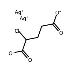 O=C([O-])CCC(Cl)C(=O)[O-].[Ag+].[Ag+]